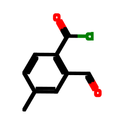 Cc1ccc(C(=O)Cl)c(C=O)c1